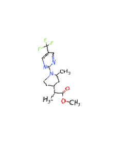 COC(=O)C(C)C1CCN(c2ncc(C(F)(F)F)cn2)C(C)C1